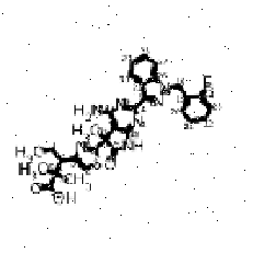 CCC(c1csc(C2(C)C(=O)Nc3nc(-c4nn(Cc5ccccc5F)c5ccccc45)nc(N)c32)n1)C(C)(C)C(=O)O